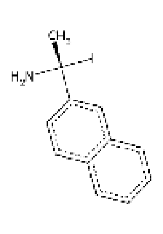 C[C@@](N)(I)c1ccc2ccccc2c1